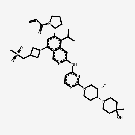 C=CC(=O)N1CCC[C@@H]1c1cc(N2CC(CS(C)(=O)=O)C2)c2cnc(Nc3ccnc(N4CC[C@@H](N5CCC(C)(O)CC5)[C@@H](F)C4)n3)cc2c1C(C)C